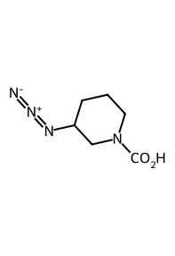 [N-]=[N+]=NC1CCCN(C(=O)O)C1